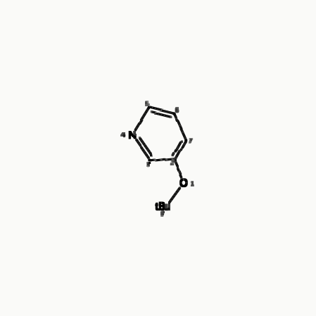 CC(C)(C)Oc1[c]nccc1